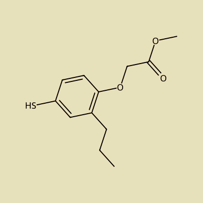 CCCc1cc(S)ccc1OCC(=O)OC